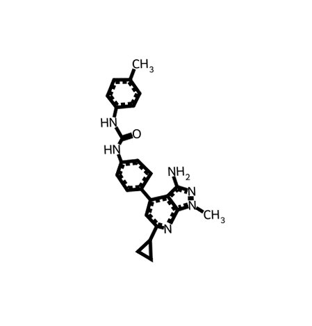 Cc1ccc(NC(=O)Nc2ccc(-c3cc(C4CC4)nc4c3c(N)nn4C)cc2)cc1